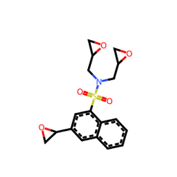 O=S(=O)(c1cc(C2CO2)cc2ccccc12)N(CC1CO1)CC1CO1